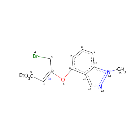 CCOC(=O)/C=C(\CBr)Oc1cccc2c1cnn2C